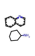 NC1CCCCC1.c1ccc2ncccc2c1